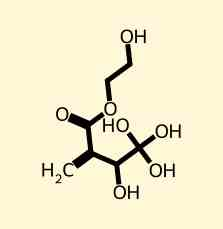 C=C(C(=O)OCCO)C(O)C(O)(O)O